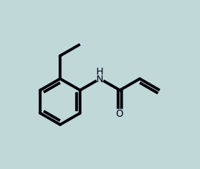 C=CC(=O)Nc1ccccc1CC